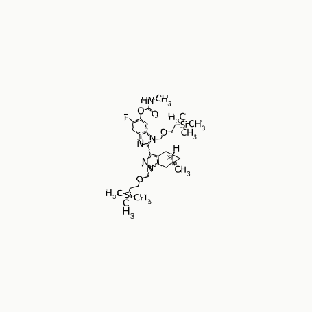 CNC(=O)Oc1cc2c(cc1F)nc(-c1nn(COCC[Si](C)(C)C)c3c1C[C@@H]1C[C@]1(C)C3)n2COCC[Si](C)(C)C